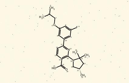 CC(C)COc1cc(F)cc(-c2ccc(C(=O)O)c(N3C[C@@H](C)CC3(C)C)n2)c1